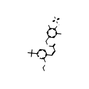 CCNc1nc(C(F)(F)F)ccc1/C=C\C(=O)N[C@H](C)c1cc(F)c(NS(C)(=O)=O)c(F)c1